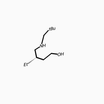 CC[C@@H](CCO)CNCC(C)(C)C